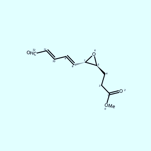 COC(=O)CC[C@@H]1O[C@H]1/C=C/C=C/C=O